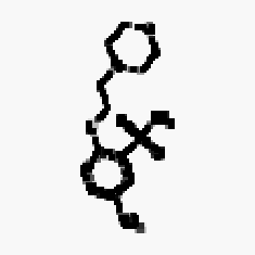 O=[N+]([O-])c1ccc(OCCN2CCOCC2)c(S(=O)(=O)C(F)(F)F)c1